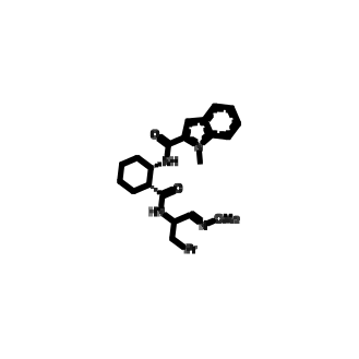 CO/N=C/C(CC(C)C)NC(=O)[C@@H]1CCCC[C@@H]1NC(=O)c1cc2ccccc2n1C